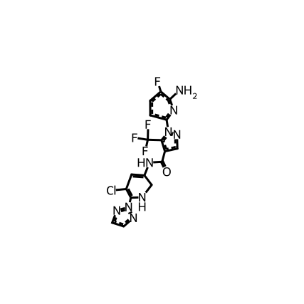 Nc1nc(-n2ncc(C(=O)NC3=CC(Cl)=C(n4nccn4)NC3)c2C(F)(F)F)ccc1F